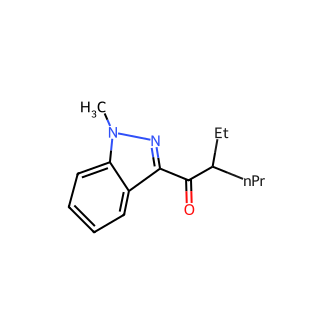 CCCC(CC)C(=O)c1nn(C)c2ccccc12